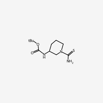 CC(C)(C)OC(=O)NC1CCCN(C(N)=S)C1